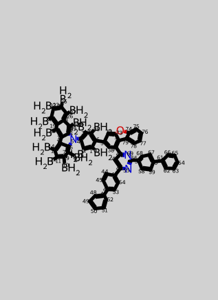 Bc1c(B)c(-n2c3c(B)c(B)c(B)c(B)c3c3c(B)c4c(B)c(B)c(B)c(B)c4c(B)c32)c(B)c(B)c1-c1cc(-c2cc(-c3ccc(-c4ccccc4)cc3)nc(-c3ccc(-c4ccccc4)cc3)n2)c2c(c1)oc1ccccc12